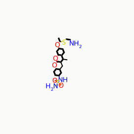 C=C(Oc1ccc2c(C)c(Cc3cccc(NS(N)(=O)=O)c3)c(=O)oc2c1)S/C=C\N